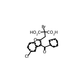 O=C(c1ccccc1)c1c(CC(Br)(C(=O)O)C(=O)O)oc2ccc(Cl)cc12